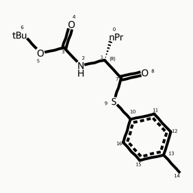 CCC[C@@H](NC(=O)OC(C)(C)C)C(=O)Sc1ccc(C)cc1